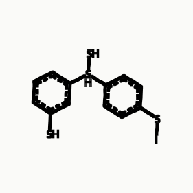 Sc1cccc([SH](S)c2ccc(SI)cc2)c1